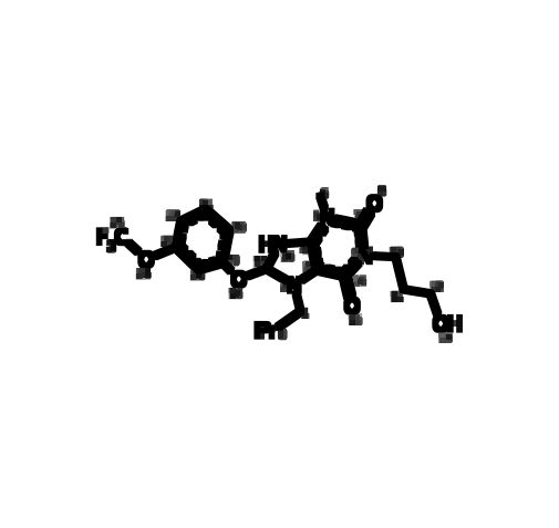 CC(C)CN1c2c(n(C)c(=O)n(CCCO)c2=O)NC1Oc1cccc(OC(F)(F)F)c1